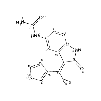 CC(=C1C(=O)Nc2ccc(NC(N)=O)cc21)c1c[nH]cn1